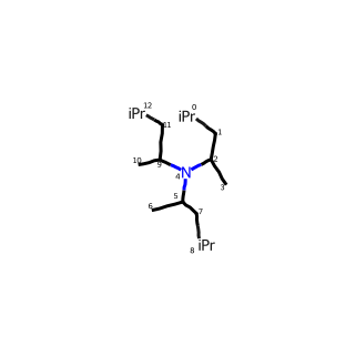 CC(C)CC(C)N(C(C)CC(C)C)C(C)CC(C)C